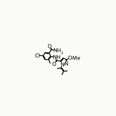 COc1cc(C(=O)Nc2c(C)cc(Cl)cc2C(N)=O)n(C(C)=C(C)C)n1